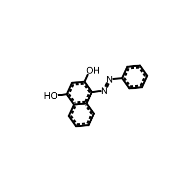 Oc1cc(O)c2ccccc2c1/N=N/c1ccccc1